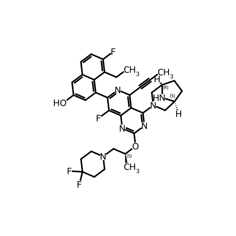 CC#Cc1nc(-c2cc(O)cc3ccc(F)c(CC)c23)c(F)c2nc(O[C@@H](C)CN3CCC(F)(F)CC3)nc(N3C[C@H]4CC[C@@H](C3)N4)c12